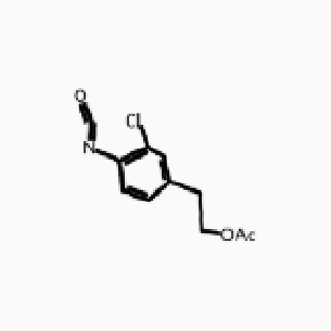 CC(=O)OCCc1ccc(N=C=O)c(Cl)c1